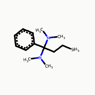 CN(C)C(CC[SiH3])(c1ccccc1)N(C)C